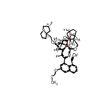 C#Cc1cccc2cc(OCOC)cc(-c3nc4c5c(nc(OC[C@@]67CCCN6C[C@H](F)C7)nc5c3F)N3C[C@@H]5CC[C@H]([C@@H]3CO4)N5C(=O)OC(C)(C)C)c12